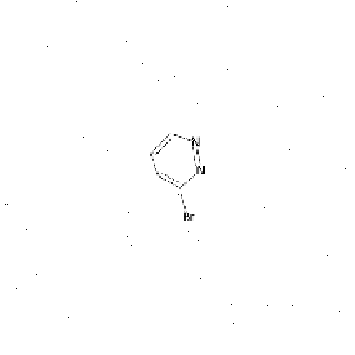 Brc1cccnn1